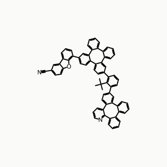 CC(C)(C)c1c(-c2ccc3c(c2)-c2ccccc2-c2ccccc2-c2cc(-c4cccc5c4oc4ccc(C#N)cc45)ccc2-3)cccc1-c1ccc2c(c1)-c1ccccc1-c1ccccc1-c1ncccc1-2